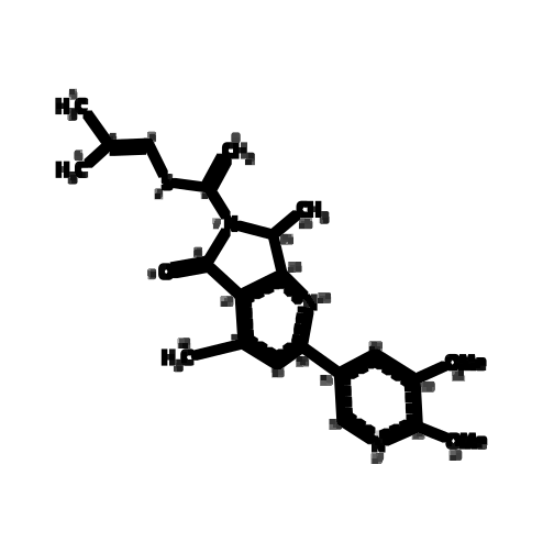 C=C(SC=C(C)C)N1C(=O)c2c(C)cc(-c3cnc(OC)c(OC)c3)nc2C1C